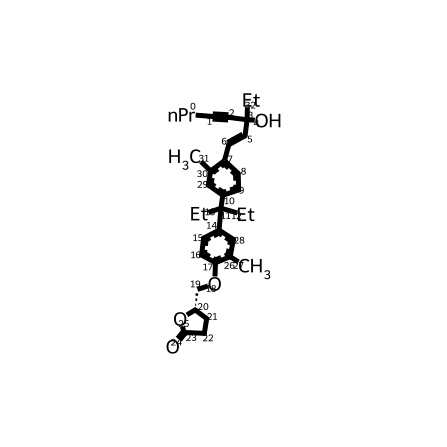 CCCC#CC(O)(/C=C/c1ccc(C(CC)(CC)c2ccc(OC[C@@H]3CCC(=O)O3)c(C)c2)cc1C)CC